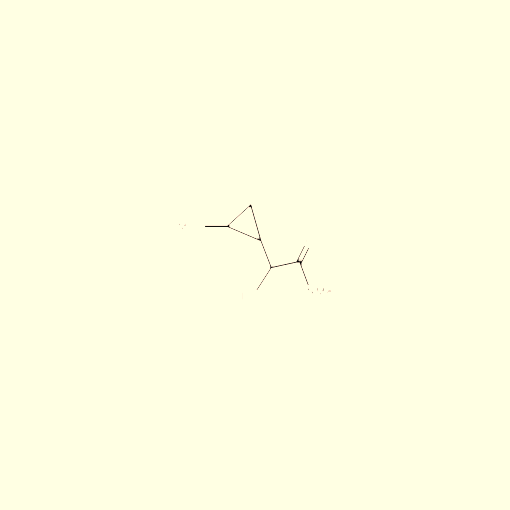 CNC(=O)C(C)C1CC1OC